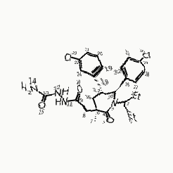 CCC(CC)N1C(=O)[C@@](C)(CC(=O)NNC(N)=O)C[C@H](c2cccc(Cl)c2)[C@H]1c1ccc(Cl)cc1